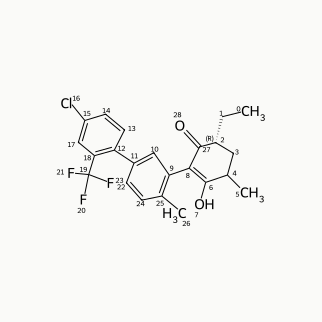 CC[C@@H]1CC(C)C(O)=C(c2cc(-c3ccc(Cl)cc3C(F)(F)F)ccc2C)C1=O